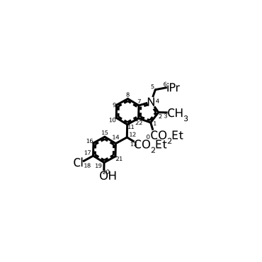 CCOC(=O)c1c(C)n(CC(C)C)c2cccc(C(C(=O)OCC)c3ccc(Cl)c(O)c3)c12